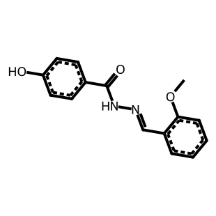 COc1ccccc1C=NNC(=O)c1ccc(O)cc1